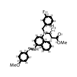 COC(=O)C[C@H](C)N(Cc1cccc(F)c1)c1ccc(NSc2ccc(OC)cc2)c2ccccc12